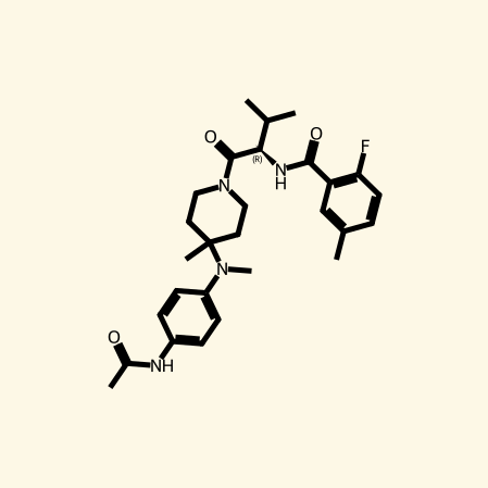 CC(=O)Nc1ccc(N(C)C2(C)CCN(C(=O)[C@H](NC(=O)c3cc(C)ccc3F)C(C)C)CC2)cc1